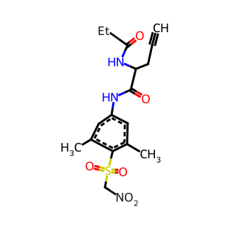 C#CCC(NC(=O)CC)C(=O)Nc1cc(C)c(S(=O)(=O)C[N+](=O)[O-])c(C)c1